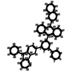 C1=C(c2cc(-c3ccccc3)cc(-c3c4ccccc4c(-c4ccc5ccccc5c4)c4ccccc34)c2)CC2C(=C1)N(c1ccccc1)c1cccnc12